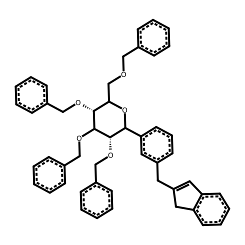 C1=C(Cc2cccc(C3OC(COCc4ccccc4)[C@@H](OCc4ccccc4)C(OCc4ccccc4)[C@H]3OCc3ccccc3)c2)Cc2ccccc21